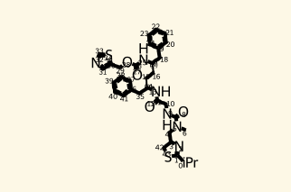 CC(C)C1=NC(CN(C)C(=O)NCC(=O)N[C@H](CC[C@H](Cc2ccccc2)NC(=O)OCc2cncs2)Cc2ccccc2)CS1